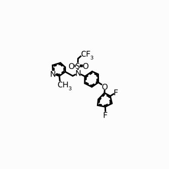 Cc1ncccc1CN(c1ccc(Oc2ccc(F)cc2F)cc1)S(=O)(=O)CC(F)(F)F